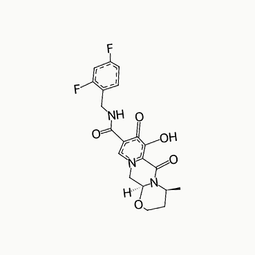 C[C@H]1CCO[C@H]2Cn3cc(C(=O)NCc4ccc(F)cc4F)c(=O)c(O)c3C(=O)N21